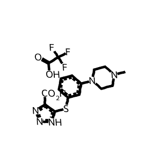 CN1CCN(c2cccc(Sc3[nH]nnc3C(=O)O)c2)CC1.O=C(O)C(F)(F)F